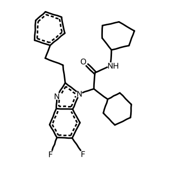 O=C(NC1CCCCC1)C(C1CCCCC1)n1c(CCc2ccccc2)nc2cc(F)c(F)cc21